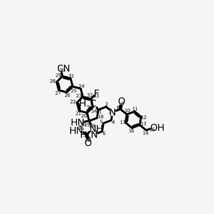 CC(CN(CCCN)C(=O)c1ccc(CO)cc1)CC1(c2ccc(Cc3cccc(C#N)c3)c(F)c2)NNC(=O)N1